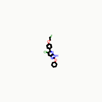 FCCOc1ccc(-c2nc3[nH]c(OC4CCCCC4)nc3cc2Cl)cc1